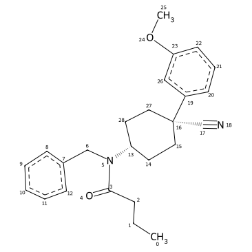 CCCC(=O)N(Cc1ccccc1)[C@H]1CC[C@](C#N)(c2cccc(OC)c2)CC1